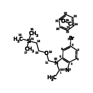 Cc1nc2ccc(Br)cc2n1COCC[Si](C)(C)C.c1cc2ccc1CO2